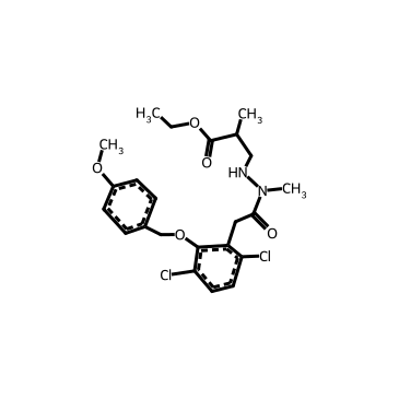 CCOC(=O)C(C)CNN(C)C(=O)Cc1c(Cl)ccc(Cl)c1OCc1ccc(OC)cc1